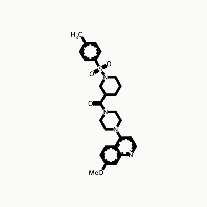 COc1ccc2c(N3CCN(C(=O)C4CCCN(S(=O)(=O)c5ccc(C)cc5)C4)CC3)ccnc2c1